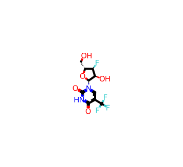 O=c1[nH]c(=O)n([C@@H]2O[C@H](CO)[C@@H](F)[C@H]2O)cc1C(F)(F)F